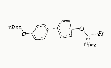 CCCCCCCCCCOc1ccc(-c2ccc(O[C@H](CC)CCCCCC)cc2)cc1